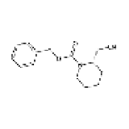 N#CC[C@@H]1CCCCN1C(=O)OCc1ccccc1